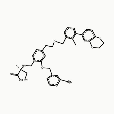 Cc1c(COCCc2ccc(CN[C@@](C)(CO)C(=O)O)c(OCc3cccc(C#N)c3)c2)cccc1-c1ccc2c(c1)OCCO2